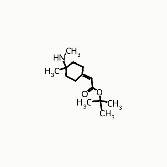 CNC1(C)CCC(=CC(=O)OC(C)(C)C)CC1